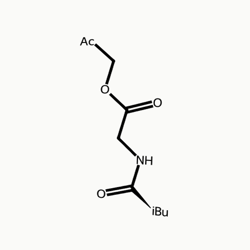 CC[C@H](C)C(=O)NCC(=O)OCC(C)=O